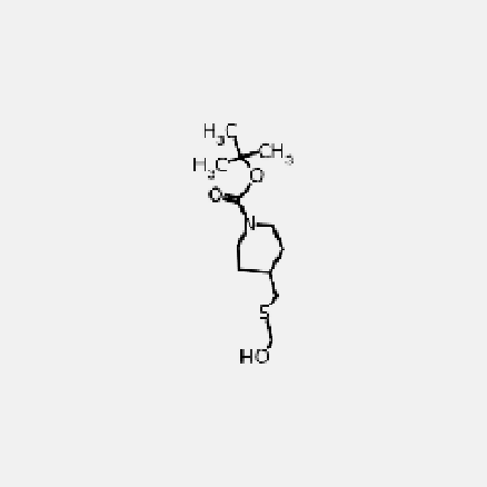 CC(C)(C)OC(=O)N1CCC(CSCO)CC1